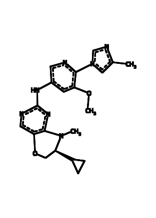 COc1cc(Nc2ncc3c(n2)N(C)[C@@H](C2CC2)CO3)cnc1-n1cnc(C)c1